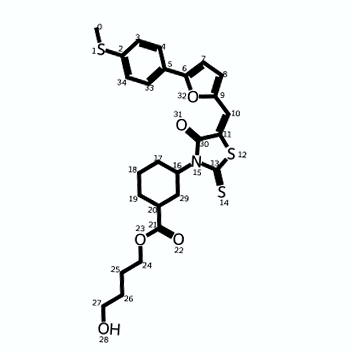 CSc1ccc(-c2ccc(C=C3SC(=S)N(C4CCCC(C(=O)OCCCCO)C4)C3=O)o2)cc1